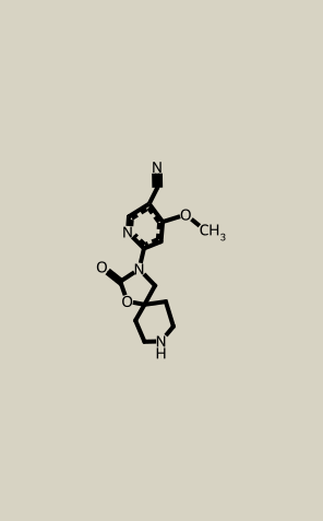 COc1cc(N2CC3(CCNCC3)OC2=O)ncc1C#N